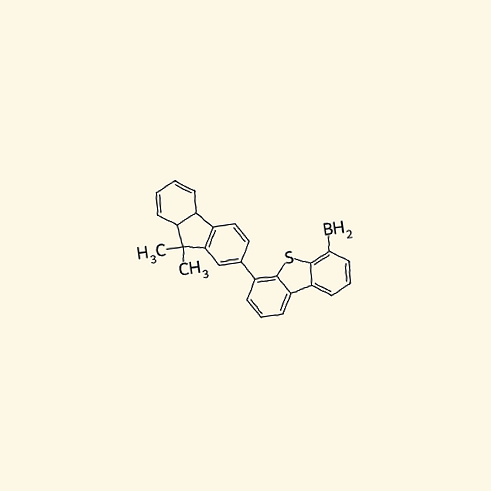 Bc1cccc2c1sc1c(-c3ccc4c(c3)C(C)(C)C3C=CC=CC43)cccc12